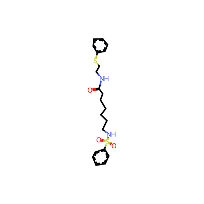 O=C(CCCCCCNS(=O)(=O)c1ccccc1)NCCSc1ccccc1